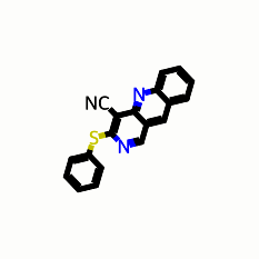 N#Cc1c(Sc2ccccc2)ncc2cc3ccccc3nc12